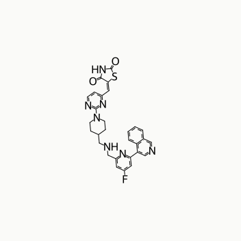 O=C1NC(=O)/C(=C\c2ccnc(N3CCC(CNCc4cc(F)cc(-c5cncc6ccccc56)n4)CC3)n2)S1